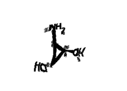 Cl.N[C]1C[C@@H]1O